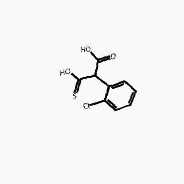 O=C(O)C(C(O)=S)c1ccccc1Cl